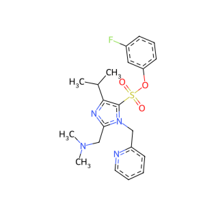 CC(C)c1nc(CN(C)C)n(Cc2ccccn2)c1S(=O)(=O)Oc1cccc(F)c1